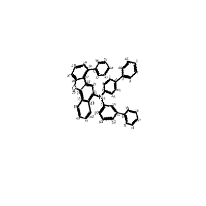 c1ccc(-c2ccc(N(c3cccc(-c4ccccc4)c3)c3cc4c(oc5cccc(-c6ccccc6)c54)c4ccccc34)cc2)cc1